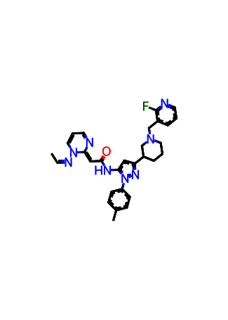 C/C=N\N1C=CC=N/C1=C\C(=O)Nc1cc(C2CCCN(Cc3cccnc3F)C2)nn1-c1ccc(C)cc1